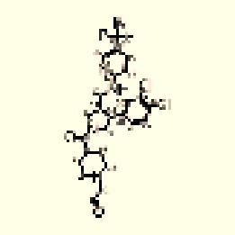 O=CCN1CCC(C(=O)N2CC(CNc3ccc(C(F)(F)F)cn3)C(c3ccc(Cl)c(Cl)c3)C2)CC1